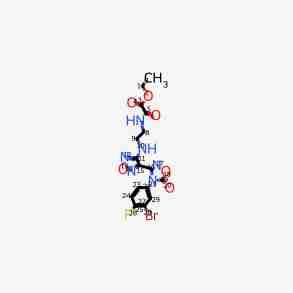 CCOC(=O)C(=O)NCCNc1nonc1-c1noc(=O)n1-c1ccc(F)c(Br)c1